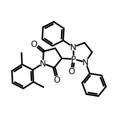 Cc1cccc(C)c1N1C(=O)CC(P2(=O)N(c3ccccc3)CCN2c2ccccc2)C1=O